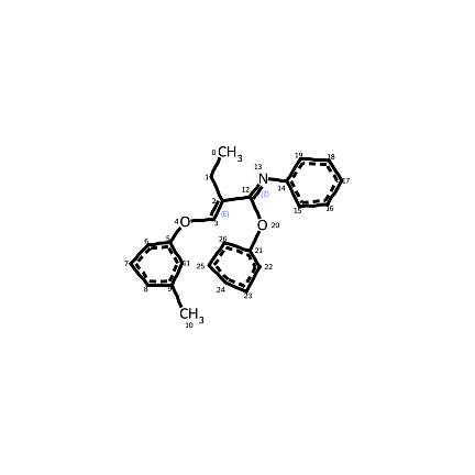 CCC(=C\Oc1cccc(C)c1)/C(=N/c1ccccc1)Oc1ccccc1